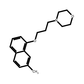 Cc1ccc2cccc(OCCCN3CCOCC3)c2c1